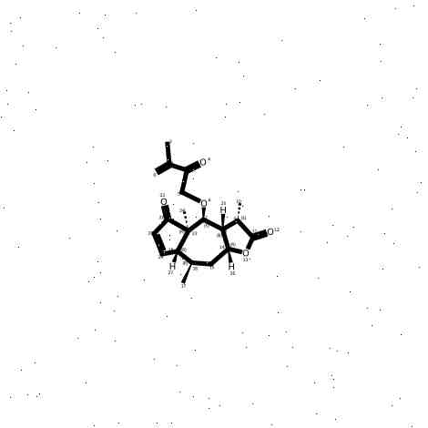 C=C(C)C(=O)CO[C@H]1[C@@H]2[C@H](C)C(=O)O[C@@H]2C[C@@H](C)[C@@H]2C=CC(=O)[C@]21C